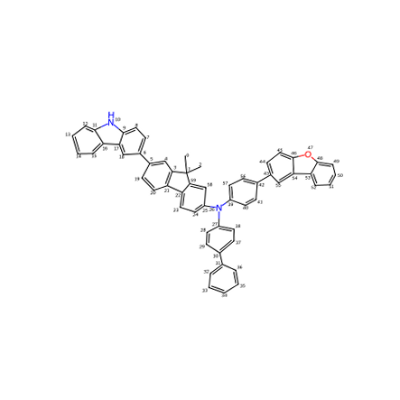 CC1(C)c2cc(-c3ccc4[nH]c5ccccc5c4c3)ccc2-c2ccc(N(c3ccc(-c4ccccc4)cc3)c3ccc(-c4ccc5oc6ccccc6c5c4)cc3)cc21